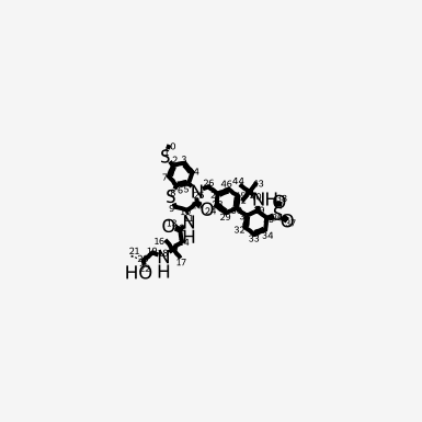 CSc1ccc2c(c1)SC[C@@H](NC(=O)CC(C)(C)NC[C@@H](C)O)C(=O)N2Cc1ccc(C2=CC=CC(=S(=O)=O)C2NC(C)(C)C)cc1